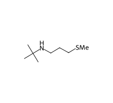 CSCCCNC(C)(C)C